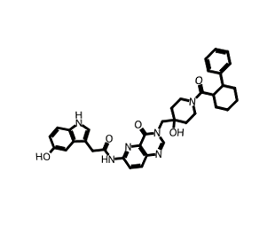 O=C(Cc1c[nH]c2ccc(O)cc12)Nc1ccc2ncn(CC3(O)CCN(C(=O)C4CCCCC4c4ccccc4)CC3)c(=O)c2n1